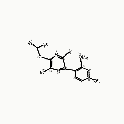 CCCC(CC)Oc1nc(CC)c(-c2ccc(C(F)(F)F)cc2OC)nc1CC